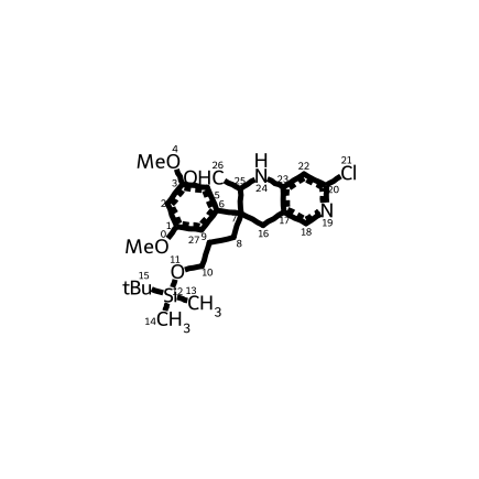 COc1cc(OC)cc(C2(CCCO[Si](C)(C)C(C)(C)C)Cc3cnc(Cl)cc3NC2C=O)c1